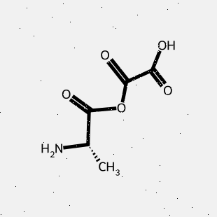 C[C@H](N)C(=O)OC(=O)C(=O)O